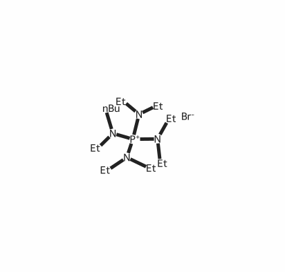 CCCCN(CC)[P+](N(CC)CC)(N(CC)CC)N(CC)CC.[Br-]